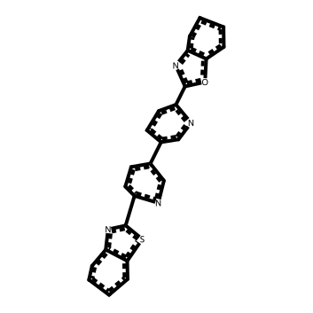 c1ccc2oc(-c3ccc(-c4ccc(-c5nc6ccccc6s5)nc4)cn3)nc2c1